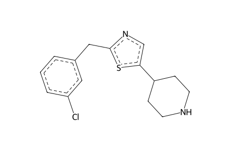 Clc1cccc(Cc2ncc(C3CCNCC3)s2)c1